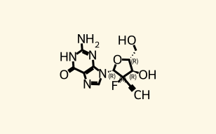 C#C[C@@]1(F)[C@H](O)[C@@H](CO)O[C@H]1n1cnc2c(=O)[nH]c(N)nc21